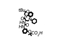 CC(C)(C)C(=O)CN1C(=O)C(NC(=O)Nc2cccc(OC(C)(C)C(=O)O)c2)CN(C2CCCCC2)c2ccccc21